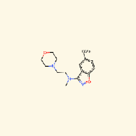 COc1ccc2onc(N(C)CCN3CCOCC3)c2c1